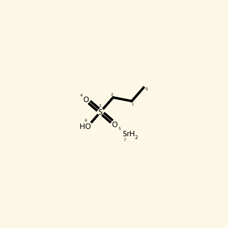 CCCS(=O)(=O)O.[SrH2]